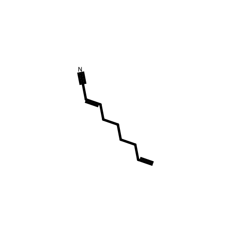 C=CCCCCC=CC#N